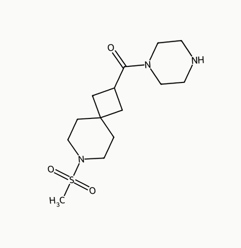 CS(=O)(=O)N1CCC2(CC1)CC(C(=O)N1CCNCC1)C2